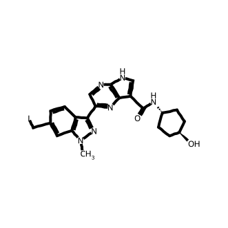 Cn1nc(-c2cnc3[nH]cc(C(=O)N[C@H]4CC[C@H](O)CC4)c3n2)c2ccc(CI)cc21